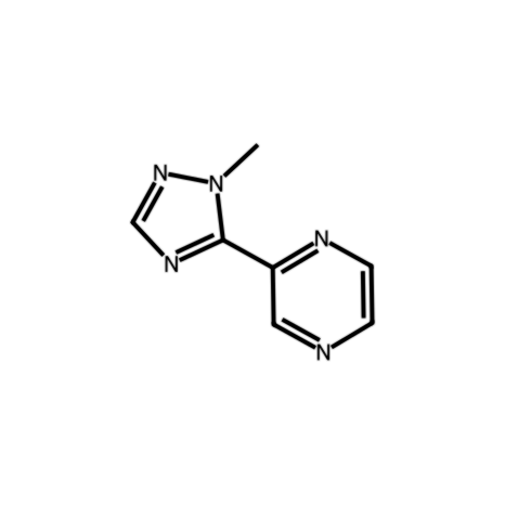 Cn1ncnc1-c1cnccn1